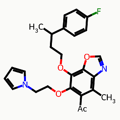 CC(=O)c1c(OCCn2cccc2)c(OCCC(C)c2ccc(F)cc2)c2ocnc2c1C